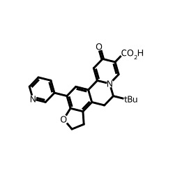 CC(C)(C)C1Cc2c(cc(-c3cccnc3)c3c2CCO3)-c2cc(=O)c(C(=O)O)cn21